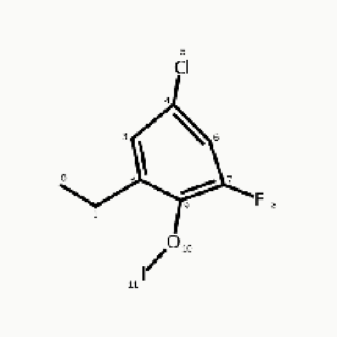 CCc1cc(Cl)cc(F)c1OI